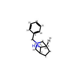 NC1C2CC[C@H]1CN(Cc1ccccc1)C2